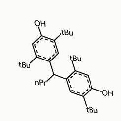 CCCC(c1cc(C(C)(C)C)c(O)cc1C(C)(C)C)c1cc(C(C)(C)C)c(O)cc1C(C)(C)C